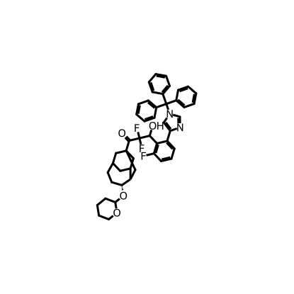 O=C(C12CC3CC[C@@H](OC4CCCCO4)C(C1)C(C3)C2)C(F)(F)C(O)c1c(F)cccc1-c1cn(C(c2ccccc2)(c2ccccc2)c2ccccc2)cn1